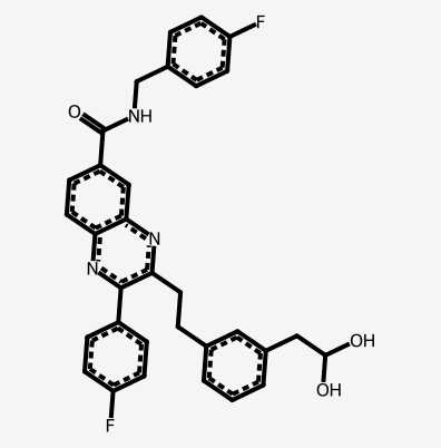 O=C(NCc1ccc(F)cc1)c1ccc2nc(-c3ccc(F)cc3)c(CCc3cccc(CC(O)O)c3)nc2c1